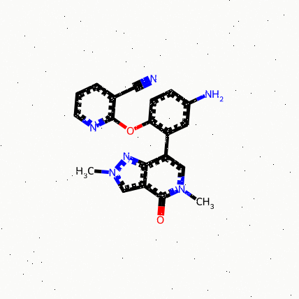 Cn1cc2c(=O)n(C)cc(-c3cc(N)ccc3Oc3ncccc3C#N)c2n1